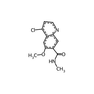 CNC(=O)c1cc2nccc(Cl)c2cc1OC